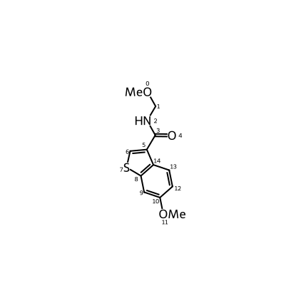 COCNC(=O)c1csc2cc(OC)ccc12